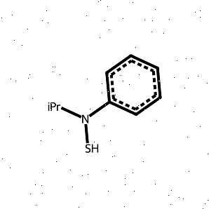 CC(C)N(S)c1ccccc1